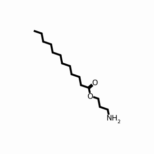 CCCCCCCCCCCC(=O)OCCCN